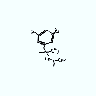 CB(O)NC(C)(c1cc(Br)cc(Br)c1)C(F)(F)F